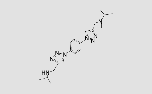 CC(C)NCc1cn(-c2ccc(-n3cc(CNC(C)C)nn3)cc2)nn1